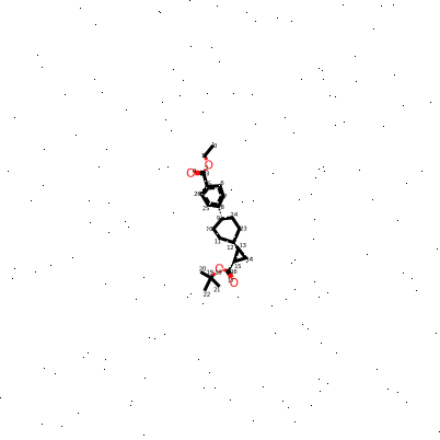 CCOC(=O)c1ccc([C@H]2CC[C@H](C3C[C@H]3C(=O)OC(C)(C)C)CC2)cc1